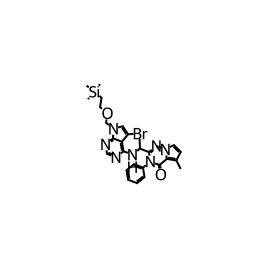 Cc1ccn2nc(C(C)Nc3ncnc4c3c(Br)cn4COCC[Si](C)(C)C)n(-c3ccccc3)c(=O)c12